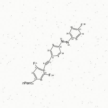 CCCCCc1cc(F)c(C#Cc2ccc(N=Nc3ccc(F)cc3)cc2)c(F)c1